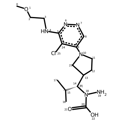 COCCNc1nncc(N2CCC([C@@H]([C](C)C)N(N)C(=O)O)C2)c1Cl